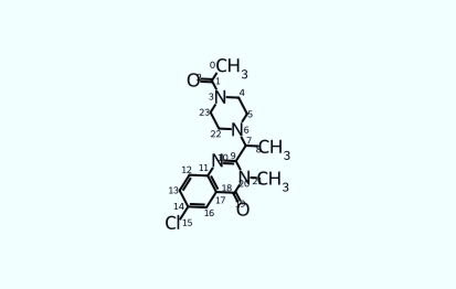 CC(=O)N1CCN(C(C)c2nc3ccc(Cl)cc3c(=O)n2C)CC1